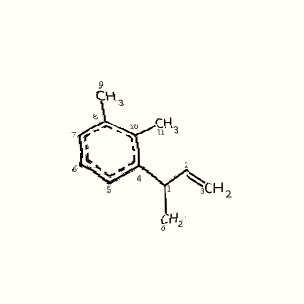 [CH2]C(C=C)c1cccc(C)c1C